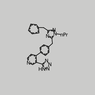 CCCn1nc(Cc2ccccc2)nc1Cc1ccc(-c2ccncc2-c2nnn[nH]2)cc1